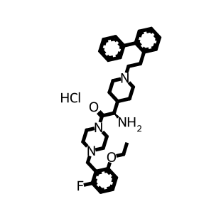 CCOc1cccc(F)c1CN1CCN(C(=O)[C@H](N)C2CCN(CCc3ccccc3-c3ccccc3)CC2)CC1.Cl